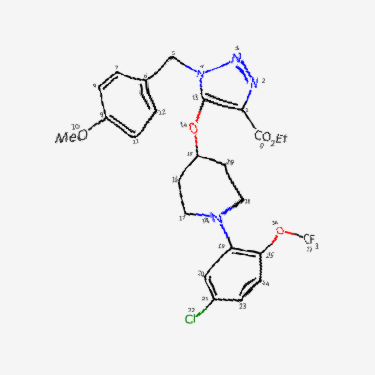 CCOC(=O)c1nnn(Cc2ccc(OC)cc2)c1OC1CCN(c2cc(Cl)ccc2OC(F)(F)F)CC1